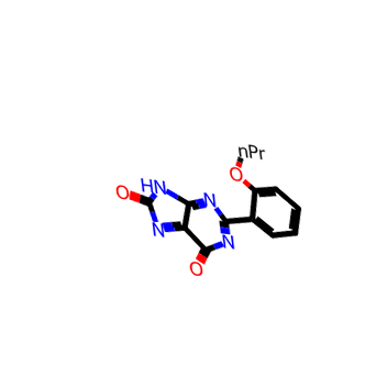 CCCOc1ccccc1C1=NC(=O)C2=NC(=O)NC2=N1